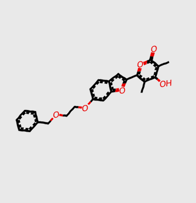 Cc1c(-c2cc3ccc(OCCOCc4ccccc4)cc3o2)oc(=O)c(C)c1O